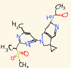 CC(=O)Nc1cc2c(cn1)C1(CC1)CN2c1cc(C)nc(C(C)S(C)(=O)=O)n1